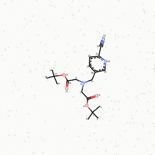 CC(C)(C)OC(=O)CN(CC(=O)OC(C)(C)C)Cc1ccc(C#N)nc1